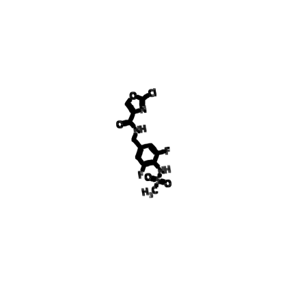 CS(=O)(=O)Nc1c(F)cc(CNC(=O)c2coc(Cl)n2)cc1F